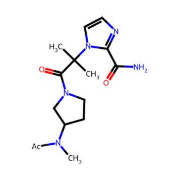 CC(=O)N(C)C1CCN(C(=O)C(C)(C)n2c[c]nc2C(N)=O)C1